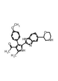 COc1ccc(-c2c(-c3nc4cc(C5CNCCO5)ccc4[nH]3)[nH]c(C)c2C(C)=O)cc1